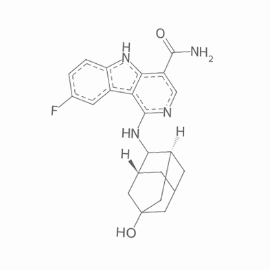 NC(=O)c1cnc(NC2[C@@H]3CC4C[C@H]2CC(O)(C4)C3)c2c1[nH]c1ccc(F)cc12